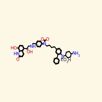 NC1CCC(N(C(=O)O)c2ccc(CCCCn3c(=O)oc4cc(CNC[C@H](O)c5ccc(O)c6[nH]c(=O)ccc56)ccc43)cc2-c2ccccc2)CC1